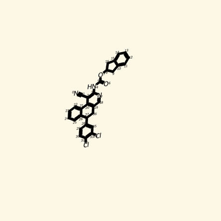 N#Cc1c(NC(=O)OC2Cc3ccccc3C2)ncc2c1-c1ccccc1C(c1ccc(Cl)c(Cl)c1)C2